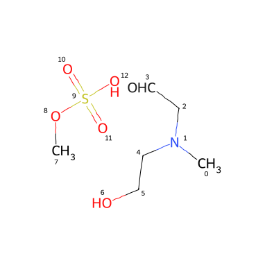 CN(CC=O)CCO.COS(=O)(=O)O